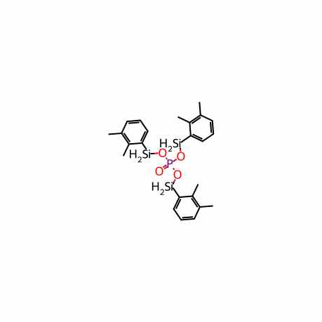 Cc1cccc([SiH2]OP(=O)(O[SiH2]c2cccc(C)c2C)O[SiH2]c2cccc(C)c2C)c1C